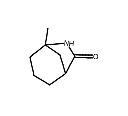 CC12CCCC(C1)C(=O)N2